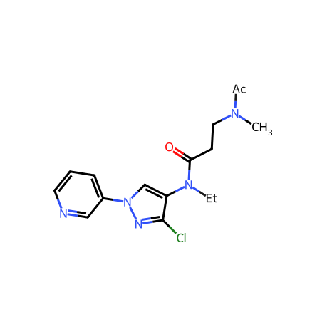 CCN(C(=O)CCN(C)C(C)=O)c1cn(-c2cccnc2)nc1Cl